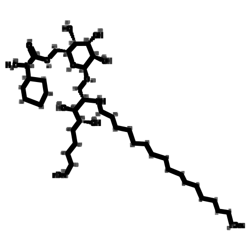 CCCCCCCCCCCCCCCCCCCCCCCCCCN[C@@H](CO[C@H]1O[C@H](COC(=O)N(C)C2CCCCC2)[C@H](O)[C@H](O)[C@H]1O)[C@H](O)[C@H](O)CCCCCCCCCCCCCC